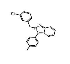 Cc1ccc(-c2c3ccccc3nn2Cc2cccc(Cl)c2)cc1